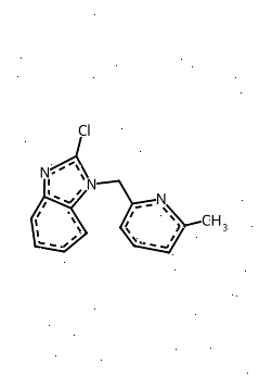 Cc1cccc(Cn2c(Cl)nc3ccccc32)n1